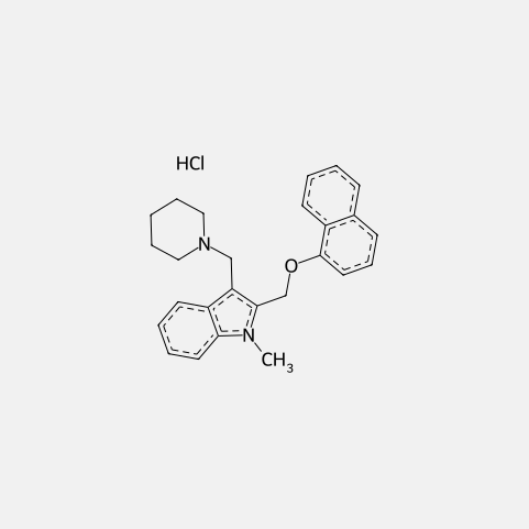 Cl.Cn1c(COc2cccc3ccccc23)c(CN2CCCCC2)c2ccccc21